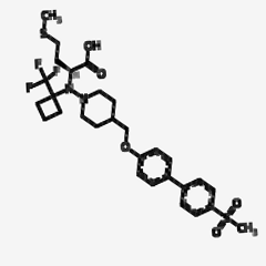 CSCC[C@@H](C(=O)O)N(N1CCC(COc2ccc(-c3ccc(S(C)(=O)=O)cc3)cc2)CC1)C1(C(F)(F)F)CCC1